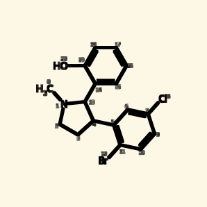 CN1CCC(c2cc(Cl)ccc2Br)C1c1ccccc1O